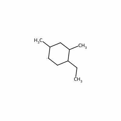 CCC1C[CH]C(C)CC1C